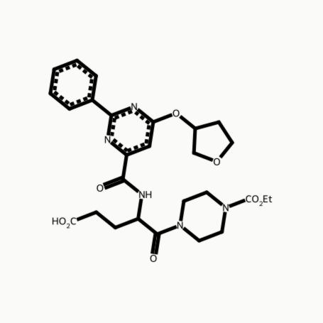 CCOC(=O)N1CCN(C(=O)C(CCC(=O)O)NC(=O)c2cc(OC3CCOC3)nc(-c3ccccc3)n2)CC1